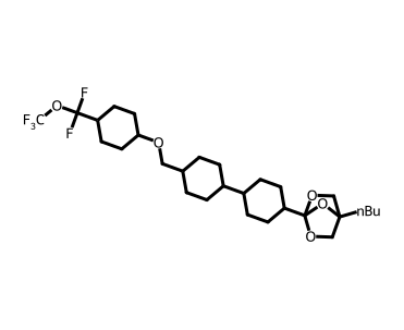 CCCCC12COC(C3CCC(C4CCC(COC5CCC(C(F)(F)OC(F)(F)F)CC5)CC4)CC3)(OC1)O2